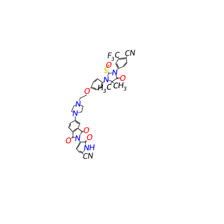 CC1(C)C(=O)N(c2ccc(C#N)c(C(F)(F)F)c2)C(=S=O)N1c1ccc(OCCN2CCN(c3ccc4c(c3)C(=O)N(c3ccc(C#N)[nH]c3=O)C4=O)CC2)cc1